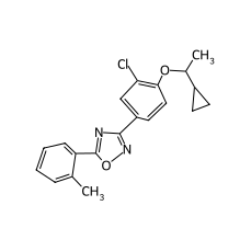 Cc1ccccc1-c1nc(-c2ccc(OC(C)C3CC3)c(Cl)c2)no1